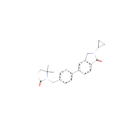 CC1(C)COC(=O)N1Cc1ccc(-c2ccc3c(c2)CN(C2CC2)C3=O)cc1